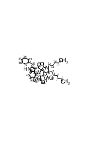 CCCCCC[C@@H](CC(N)=O)N(CCCCC)C(=O)[C@](N)(CCCC(=O)O)C(=O)c1c(Cc2ccccc2)[nH]c2ccccc12